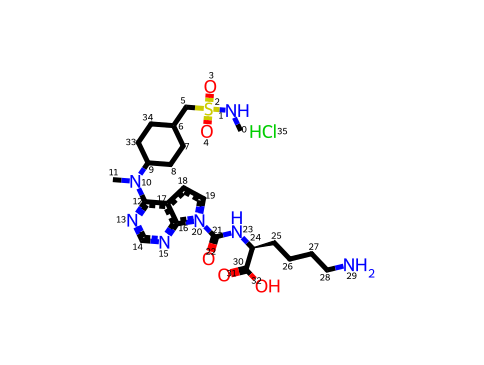 CNS(=O)(=O)CC1CCC(N(C)c2ncnc3c2ccn3C(=O)N[C@@H](CCCCN)C(=O)O)CC1.Cl